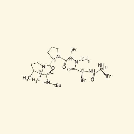 CC(C)[C@H](N)C(=O)N[C@H](C(=O)N(C)[C@H](C(=O)N1CCC[C@H]1C(=O)N1CCC(C)[C@@]1(C)C(=O)NC(C)(C)C)C(C)C)C(C)C